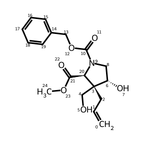 C=CC[C@]1(CO)[C@@H](O)CN(C(=O)OCc2ccccc2)[C@@H]1C(=O)OC